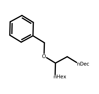 [CH2]CCCCCCCCCCC(CCCCCC)OCc1ccccc1